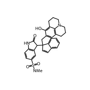 CNS(=O)(=O)c1ccc2c(c1)C(C1(Cc3cc4c5c(c3O)CCCN5CCC4)C=Cc3ccccc31)C(=O)N2